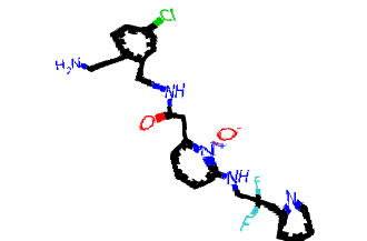 NCc1ccc(Cl)cc1CNC(=O)Cc1cccc(NCC(F)(F)c2ccccn2)[n+]1[O-]